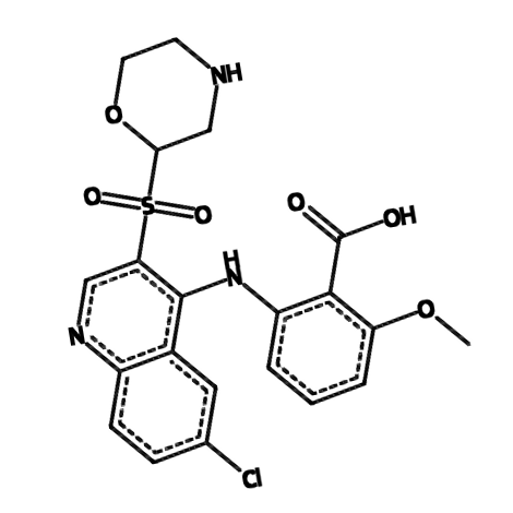 COc1cccc(Nc2c(S(=O)(=O)C3CNCCO3)cnc3ccc(Cl)cc23)c1C(=O)O